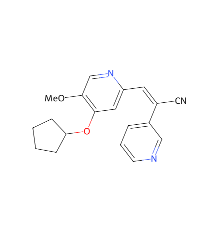 COc1cnc(C=C(C#N)c2cccnc2)cc1OC1CCCC1